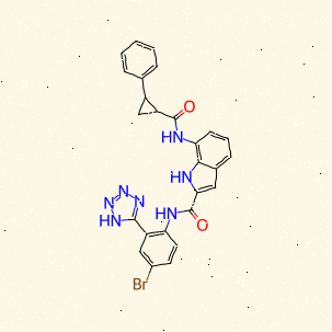 O=C(Nc1ccc(Br)cc1-c1nnn[nH]1)c1cc2cccc(NC(=O)C3CC3c3ccccc3)c2[nH]1